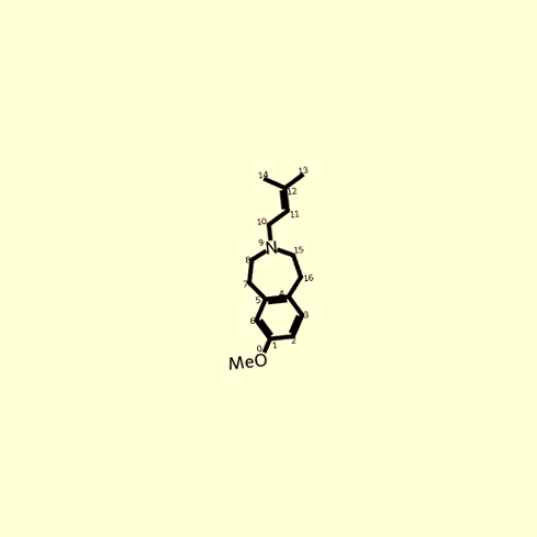 COc1ccc2c(c1)CCN(CC=C(C)C)CC2